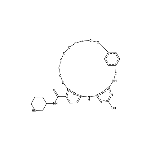 O=C(NC1CCCNC1)c1ccc2cc1OCCCCCCCCOc1ccc(cc1)CNc1nc(O)nc(n1)N2